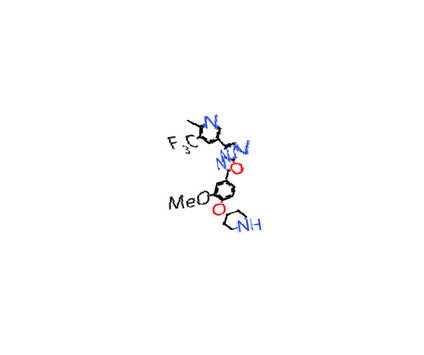 COc1cc(-c2nn3c(-c4cnc(C)c(C(F)(F)F)c4)cnc3o2)ccc1OC1CCNCC1